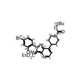 CCOC(=O)c1c2nccc(C3CCN(C(=O)OC(C)(C)C)CC3)c2nn1-c1ccc(Br)cc1OC